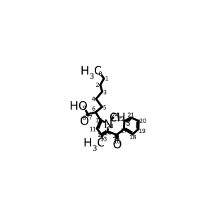 CCCCCCC(C(=O)O)c1cc(C)c(C(=O)c2ccccc2)n1C